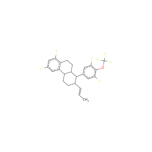 CC=CC1CCC2c3cc(F)cc(F)c3CCC2C1c1cc(F)c(OC(F)(F)F)c(F)c1